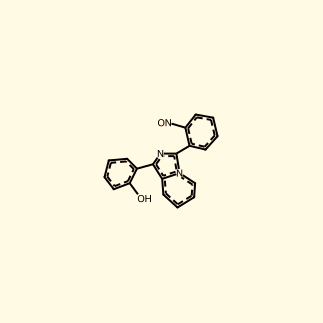 O=Nc1ccccc1-c1nc(-c2ccccc2O)c2ccccn12